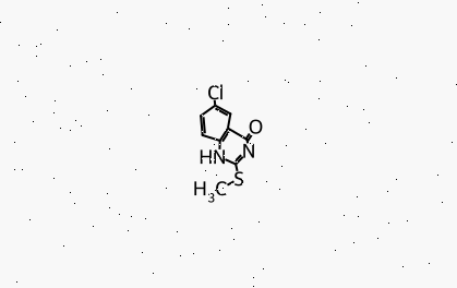 CSc1nc(=O)c2cc(Cl)ccc2[nH]1